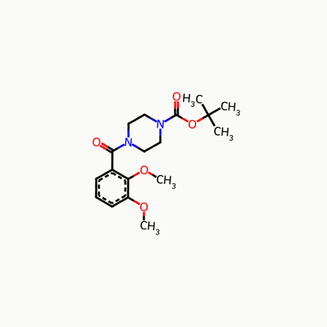 COc1cccc(C(=O)N2CCN(C(=O)OC(C)(C)C)CC2)c1OC